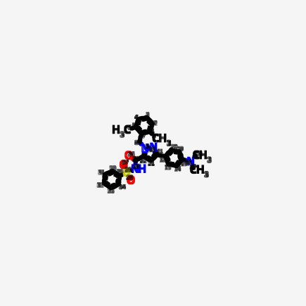 Cc1cccc(C)c1Cn1nc(-c2ccc(N(C)C)cc2)cc1C(=O)NS(=O)(=O)c1ccccc1